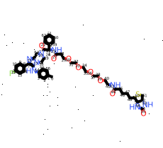 Cc1ccc(Nc2c(-c3ccc(F)cc3)nc3n2CCN(C(=O)[C@](C)(NC(=O)CCOCCOCCOCCOCCNC(=O)CCCCC2SCC4NC(=O)NC42)c2ccccc2)C3)cc1